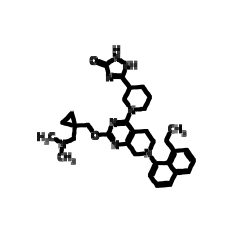 CCc1cccc2cccc(N3CCc4c(nc(OCC5(CN(C)C)CC5)nc4N4CCCC(c5nc(=O)[nH][nH]5)C4)C3)c12